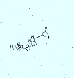 NS(=O)(=O)OC[C@@H]1CC[C@H](n2cnc3c(C#Cc4cc(F)cc(F)c4)ncnc32)O1